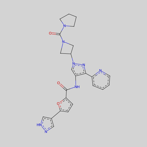 O=C(Nc1cn(C2CN(C(=O)N3CCCC3)C2)nc1-c1ccccn1)c1ccc(-c2cn[nH]c2)o1